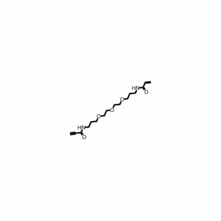 C#CC(=O)NCCCOCCOCCOCCCNC(=O)C=C